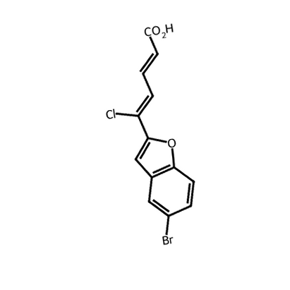 O=C(O)C=CC=C(Cl)c1cc2cc(Br)ccc2o1